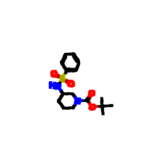 CC(C)(C)OC(=O)N1CCCC(NS(=O)(=O)c2ccccc2)C1